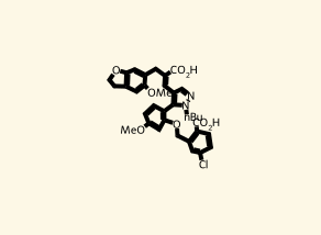 CCCCn1ncc(C=C(Cc2cc3c(cc2OC)CCO3)C(=O)O)c1-c1ccc(OC)cc1OCc1cc(Cl)ccc1C(=O)O